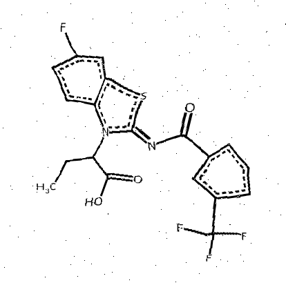 CCC(C(=O)O)n1c(=NC(=O)c2cccc(C(F)(F)F)c2)sc2cc(F)ccc21